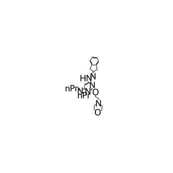 CCCN(CCC)c1cc(NN=C2Cc3ccccc3C2)nc(OCCN2CCOCC2)n1